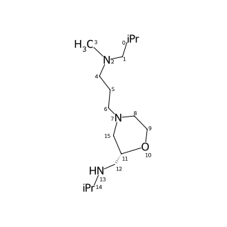 CC(C)CN(C)CCCN1CCO[C@H](CNC(C)C)C1